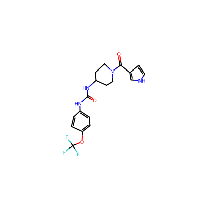 O=C(Nc1ccc(OC(F)(F)F)cc1)NC1CCN(C(=O)c2cc[nH]c2)CC1